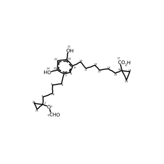 O=COC1(CCCCc2cc(CCCCCCC3(C(=O)O)CC3)c(O)cc2O)CC1